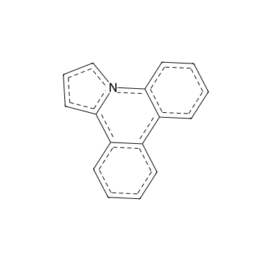 c1ccc2c(c1)c1ccccc1n1cccc21